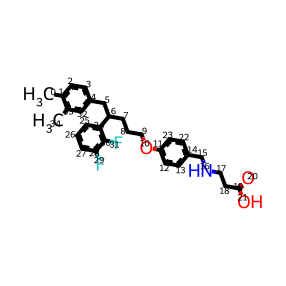 Cc1ccc(CC(CCCOc2ccc(CNCCC(=O)O)cc2)c2cccc(F)c2F)cc1C